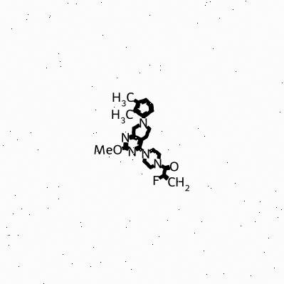 C=C(F)C(=O)N1CCN(c2nc(OC)nc3c2CCN(c2cccc(C)c2C)C3)CC1